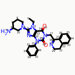 CCn1c(N2CCCC(N)C2)nc2c1c(=O)n(CC1=NCCc3ccccc31)c(=O)n2-c1ccccc1